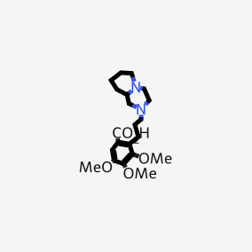 COc1cc(C(=O)O)c(CCCN2CCN3CCCCC3C2)c(OC)c1OC